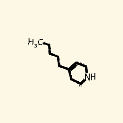 CCCCCC1=CCN[C]C1